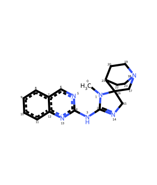 CN1C(Nc2ncc3ccccc3n2)=NCC12CN1CCC2CC1